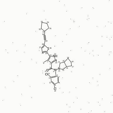 Cc1c(C(=O)N(c2ccc(Cl)cc2Cl)N2CC3CCCC3C2)n[nH]c1-c1ccc(C#CC2CCCC2)s1